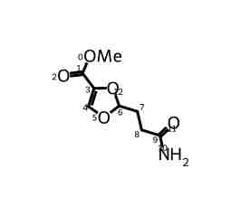 COC(=O)C1=COC(CCC(N)=O)O1